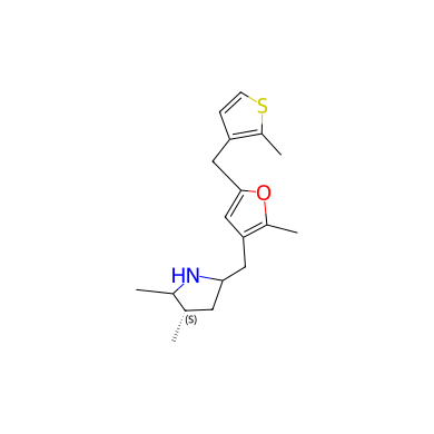 Cc1oc(Cc2ccsc2C)cc1CC1C[C@H](C)C(C)N1